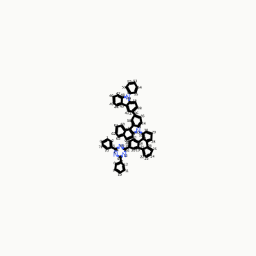 c1ccc(-c2nc(-c3ccccc3)nc(-c3ccc4c(c3)c3ccccc3c3cccc(-n5c6ccc(-c7ccc8c(c7)c7ccccc7n8-c7ccccc7)cc6c6c7ccccc7ccc65)c34)n2)cc1